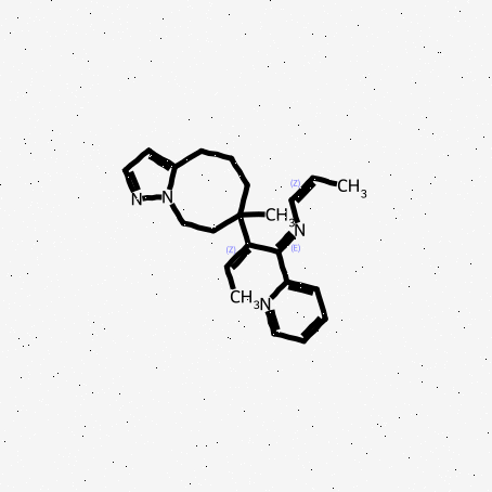 C\C=C/N=C(\C(=C/C)C1(C)CCCc2ccnn2CC1)c1ccccn1